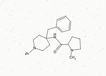 CC(C)N1CCC(Cc2ccccc2)(NC(=O)C2CCCN2C)CC1